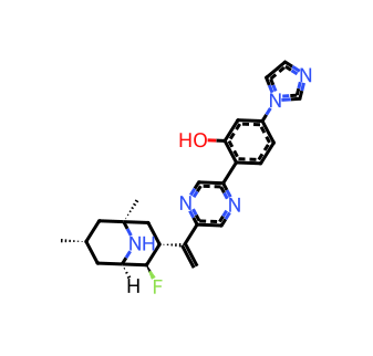 C=C(c1cnc(-c2ccc(-n3ccnc3)cc2O)cn1)[C@H]1C[C@]2(C)C[C@@H](C)C[C@@H](N2)[C@@H]1F